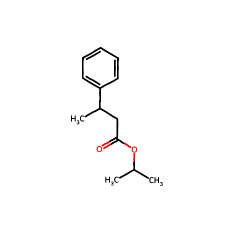 CC(C)OC(=O)CC(C)c1ccccc1